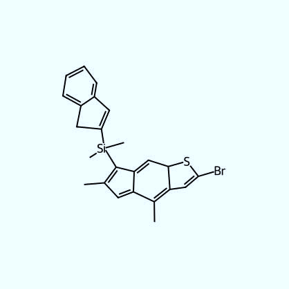 CC1=C([Si](C)(C)C2=Cc3ccccc3C2)C2=CC3SC(Br)=CC3=C(C)C2=C1